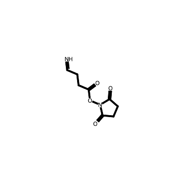 N=CCCC(=O)ON1C(=O)CCC1=O